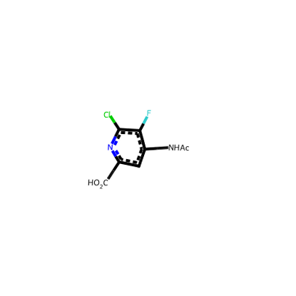 CC(=O)Nc1cc(C(=O)O)nc(Cl)c1F